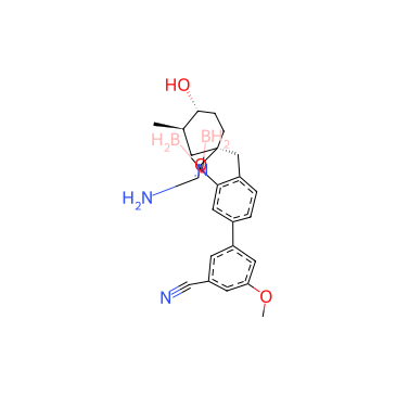 BC1(B)OC(N)=NC12c1cc(-c3cc(C#N)cc(OC)c3)ccc1C[C@]21CC[C@@H](O)[C@H](C)C1